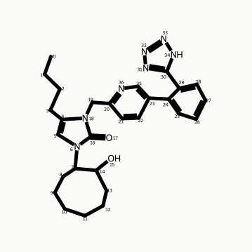 CCCCc1cn(C2CCCCCCC2O)c(=O)n1Cc1ccc(-c2ccccc2-c2nnn[nH]2)cn1